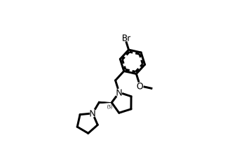 COc1ccc(Br)cc1CN1CCC[C@H]1CN1CCCC1